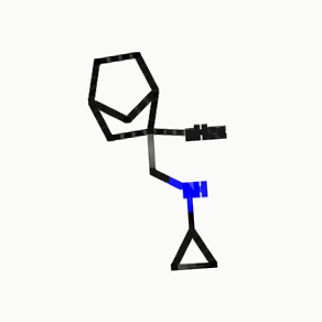 CCCCCCC1(CNC2CC2)CC2CCC1C2